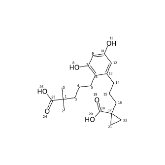 CC(C)(CCCc1c(O)cc(O)cc1CCCC1(C(=O)O)CC1)C(=O)O